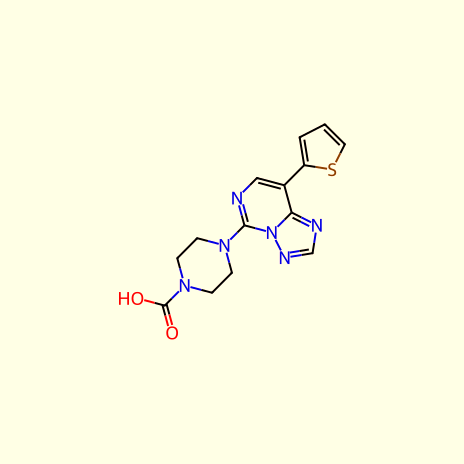 O=C(O)N1CCN(c2ncc(-c3cccs3)c3ncnn23)CC1